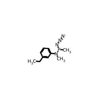 CCc1cccc(N(C)P(C)N=[N+]=[N-])c1